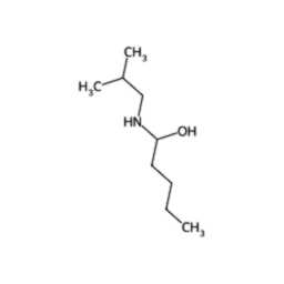 CCCCC(O)NCC(C)C